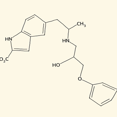 CC(Cc1ccc2[nH]c(C(=O)O)cc2c1)NCC(O)COc1ccccc1